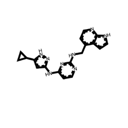 c1cc(Nc2cc(C3CC3)[nH]n2)nc(NCc2ccnc3[nH]ccc23)n1